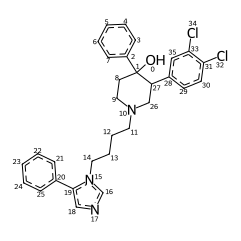 OC1(c2ccccc2)CCN(CCCCn2cncc2-c2ccccc2)CC1c1ccc(Cl)c(Cl)c1